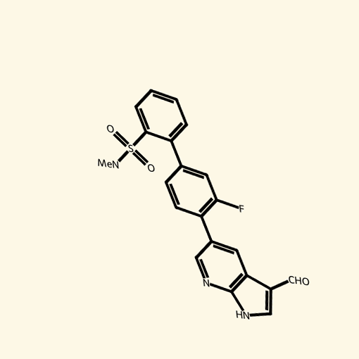 CNS(=O)(=O)c1ccccc1-c1ccc(-c2cnc3[nH]cc(C=O)c3c2)c(F)c1